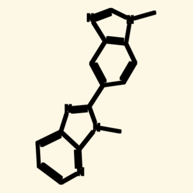 Cn1cnc2cc(-c3nc4cccnc4n3C)ccc21